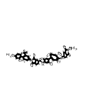 Cc1ccc(-c2ccc(N3C(=O)c4ccc(C(=O)Nc5cc(Cl)c(-c6cc(Cl)c(NC(=O)c7ccc8c(c7)C(=O)N(C)C8=O)cc6Cl)cc5Cl)cc4C3=O)cc2C(F)(F)F)c(C)c1